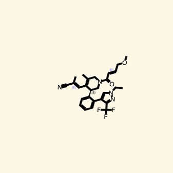 CCn1cc(-c2ccccc2[C@@H]2CN(C(=O)/C=C/COC)CC(C)=C2/C=C(\C)C#N)c(C(F)(F)F)n1